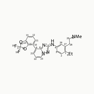 CCc1ccc(Nc2nc3c(-c4cccc5c4OC(F)(F)O5)cccn3n2)cc1CCNC